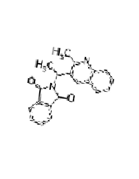 Cc1nc2ccccc2cc1[C@H](C)N1C(=O)c2ccccc2C1=O